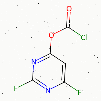 O=C(Cl)Oc1cc(F)nc(F)n1